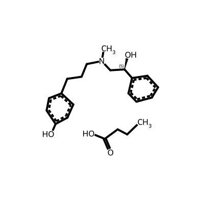 CCCC(=O)O.CN(CCCc1ccc(O)cc1)C[C@@H](O)c1ccccc1